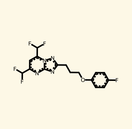 Fc1ccc(OCCCc2nc3nc(C(F)F)cc(C(F)F)n3n2)cc1